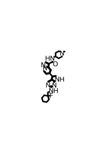 CN1CCC(NC(=O)c2cnn3ccc(-c4c[nH]c5nc(NCC6(F)CCCCC6)ncc45)cc23)CC1